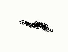 CC(C)(C)OCOc1ccc(S(=O)(=O)c2ccc(OC(=O)OC(C)(C)C)cc2)cc1